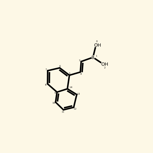 OB(O)C=Cc1cccc2ccccc12